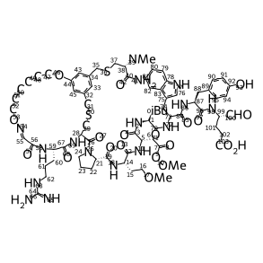 CC[C@H](C)[C@H](NC(=O)[C@H](CC(=O)OOC)NC(=O)[C@H](CCOC)NC(=O)[C@@H]1CCCN1C(=O)[C@@H]1CSCc2cc(CSC[C@H](NC)C(N)=O)cc(c2)OCCCCCCO/N=C/C(=O)N[C@@H](CCCNC(=N)N)C(=O)N1)C(=O)N[C@@H](Cc1c[nH]c2ccccc12)C(=O)N[C@@H](Cc1ccc(O)cc1)C(=O)N[C@H](C=O)CCC(=O)O